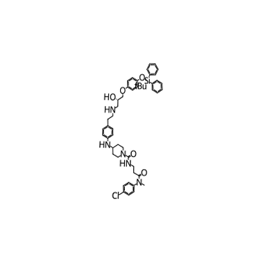 CN(C(=O)CCNC(=O)N1CCC(Nc2ccc(CCNC[C@H](O)COc3ccc(O[Si](c4ccccc4)(c4ccccc4)C(C)(C)C)cc3)cc2)CC1)c1ccc(Cl)cc1